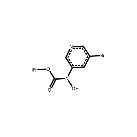 CC(C)OC(=O)N(O)c1cncc(Br)c1